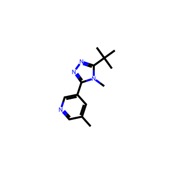 Cc1cncc(-c2nnc(C(C)(C)C)n2C)c1